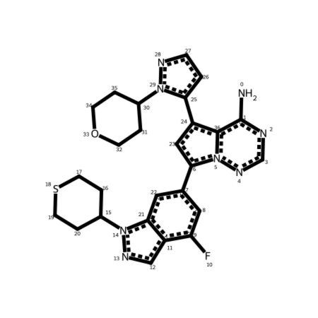 Nc1ncnn2c(-c3cc(F)c4cnn(C5CCSCC5)c4c3)cc(-c3ccnn3C3CCOCC3)c12